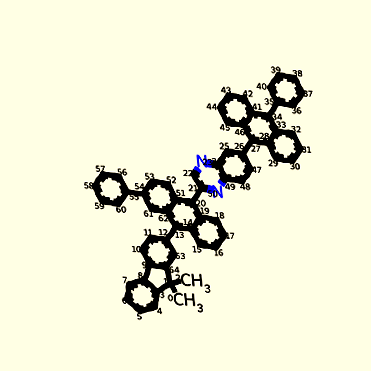 CC1(C)c2ccccc2-c2ccc(-c3c4ccccc4c(-c4cnc5cc(-c6c7ccccc7c(-c7ccccc7)c7ccccc67)ccc5n4)c4ccc(-c5ccccc5)cc34)cc21